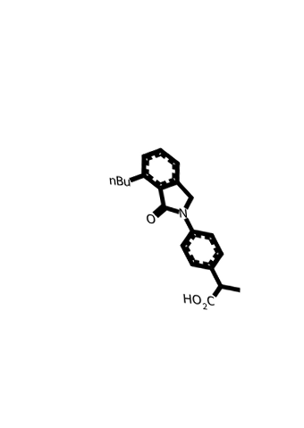 CCCCc1cccc2c1C(=O)N(c1ccc(C(C)C(=O)O)cc1)C2